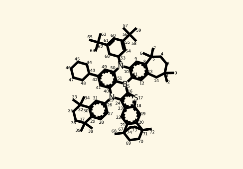 CC1(C)CCC(C)(C)c2cc3c(cc2C1)B1c2sc4cc5c(cc4c2N(c2ccc4c(c2)C(C)(C)CCC4(C)C)c2cc(C4CCCCC4)cc(c21)N3C1C=C(C(C)(C)C)C=C(C(C)(C)C)C1)C1(C)CCC5(C)CC1